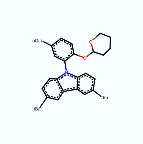 CCCCCCCCc1ccc(OC2CCCCO2)c(-n2c3ccc(C(C)(C)C)cc3c3cc(C(C)(C)C)ccc32)c1